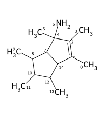 CC1=C(C)C(C)(N)C2C(C)C(C)C(C)C12